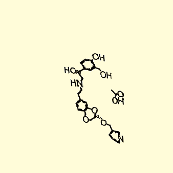 CC(=O)O.OCc1cc([C@@H](O)CNCCc2ccc3c(c2)O[C@H](COCc2cccnc2)CO3)ccc1O